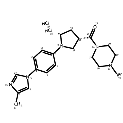 Cc1cn(-c2ccc(N3CC[C@H](C(=O)N4CCN(C(C)C)CC4)C3)cc2)cn1.Cl.Cl